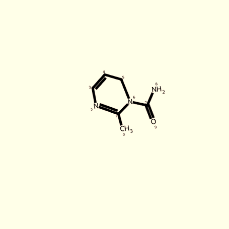 CC1=NC=CCN1C(N)=O